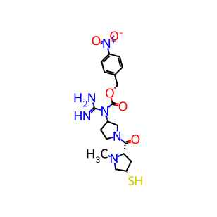 CN1C[C@@H](S)C[C@H]1C(=O)N1CC[C@@H](N(C(=N)N)C(=O)OCc2ccc([N+](=O)[O-])cc2)C1